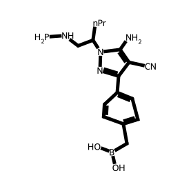 CCCC(CNP)n1nc(-c2ccc(CB(O)O)cc2)c(C#N)c1N